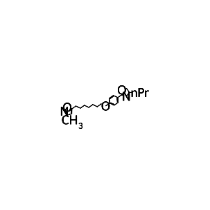 CCCC1COC(c2ccc(OCCCCCCCc3cc(C)no3)cc2)=N1